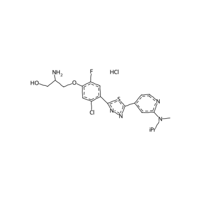 CC(C)N(C)c1cc(-c2nnc(-c3cc(F)c(OCC(N)CO)cc3Cl)s2)ccn1.Cl